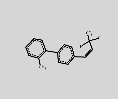 Cc1ccccc1-c1ccc(/C=C\C(F)(F)C(F)(F)F)cc1